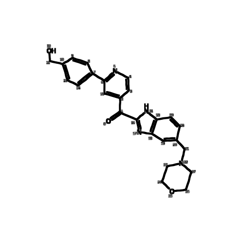 O=C(c1ccnc(-c2ccc(CO)cc2)c1)c1nc2cc(CN3CCOCC3)ccc2[nH]1